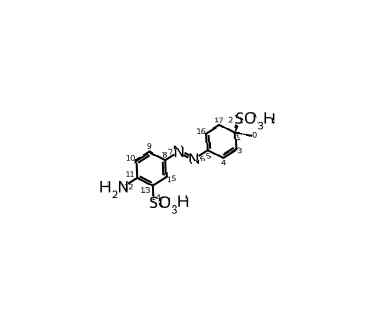 C[C@]1(S(=O)(=O)O)C=CC(/N=N/c2ccc(N)c(S(=O)(=O)O)c2)=CC1